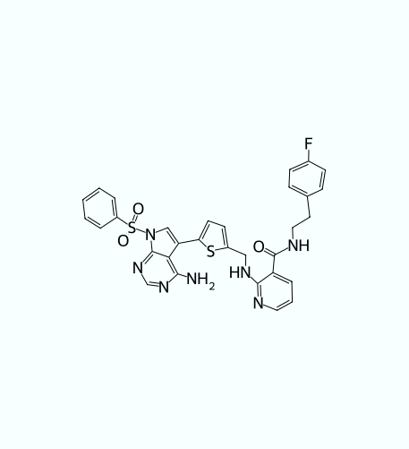 Nc1ncnc2c1c(-c1ccc(CNc3ncccc3C(=O)NCCc3ccc(F)cc3)s1)cn2S(=O)(=O)c1ccccc1